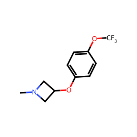 CN1CC(Oc2ccc(OC(F)(F)F)cc2)C1